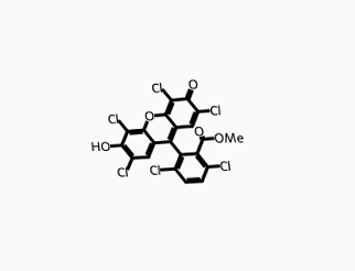 COC(=O)c1c(Cl)ccc(Cl)c1-c1c2cc(Cl)c(=O)c(Cl)c-2oc2c(Cl)c(O)c(Cl)cc12